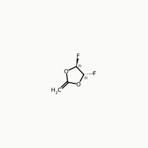 C=C1O[C@@H](F)[C@H](F)O1